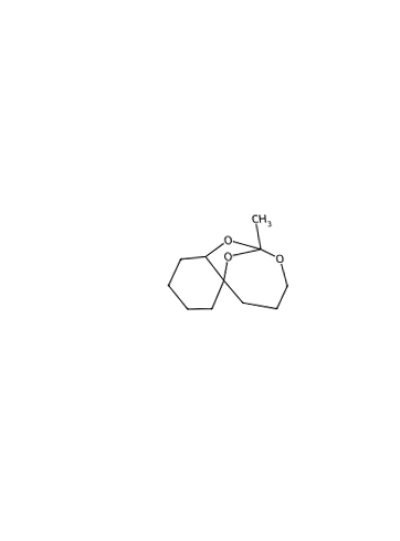 CC12OCCCC3(CCCCC3O1)O2